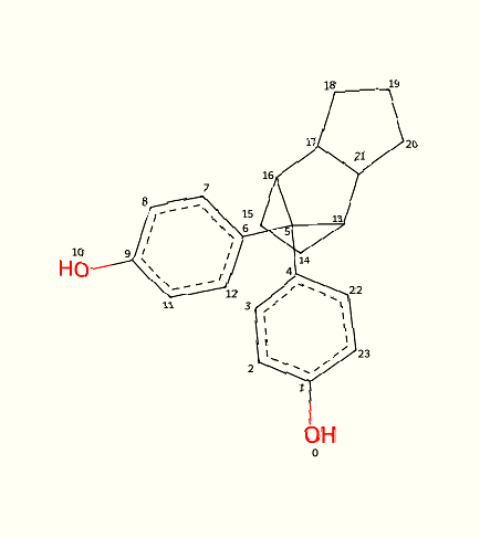 Oc1ccc(C2(c3ccc(O)cc3)C3CCC2C2CCCC23)cc1